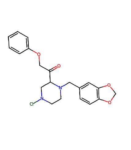 O=C(COc1ccccc1)C1CN(Cl)CCN1Cc1ccc2c(c1)OCO2